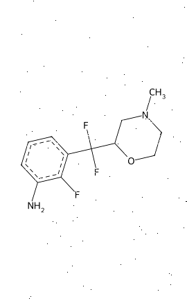 CN1CCOC(C(F)(F)c2cccc(N)c2F)C1